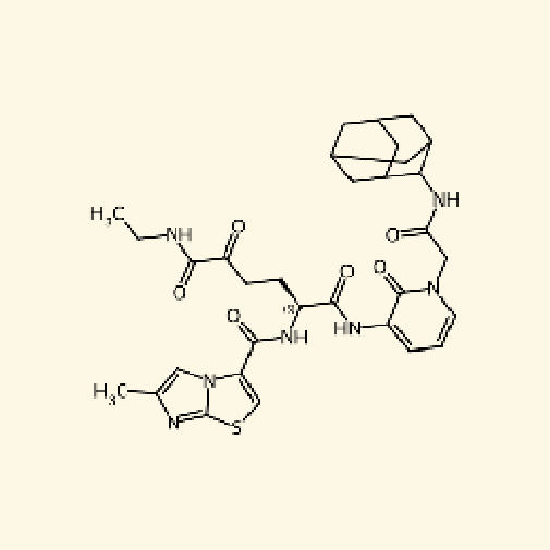 CCNC(=O)C(=O)CC[C@H](NC(=O)c1csc2nc(C)cn12)C(=O)Nc1cccn(CC(=O)NC2C3CC4CC(C3)CC2C4)c1=O